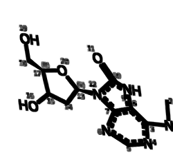 CN(C)c1ncnc2c1[nH]c(=O)n2[C@H]1CC(O)[C@@H](CO)O1